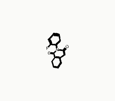 O=C1CC2=C(CCCC2)C(=O)N1c1ccccc1F